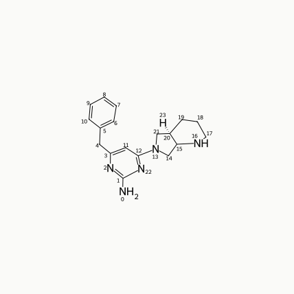 Nc1nc(Cc2ccccc2)cc(N2CC3NCCC[C@@H]3C2)n1